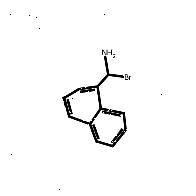 NC(Br)c1cccc2ccccc12